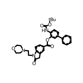 CC(C)(C)OC(=O)Nc1ccc(-c2ccccc2)cc1OC(=O)c1ccc2c(c1)CC(=O)N2CCN1CCOCC1